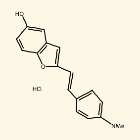 CNc1ccc(/C=C/c2cc3cc(O)ccc3o2)cc1.Cl